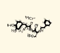 CC(C)C[C@H](NCCc1ccccc1)C(=O)NC(=O)[C@@H](N)Cc1ccc(O)c(O)c1.Cl